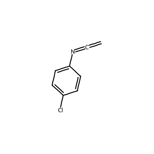 C=C=Nc1ccc(Cl)cc1